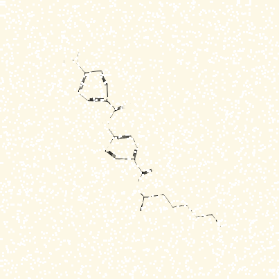 CCCCCCC(C)OC(=O)c1ccc(OC(=O)c2ccc(NC)cc2)cc1